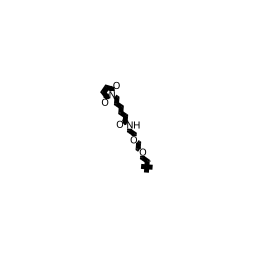 CC(C)(C)[CH]COCCOCCNC(=O)CCCCCN1C(=O)C=CC1=O